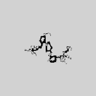 CCOP(C)(=O)C[C@H](C)c1ccnc(OCC2CCN(c3cc(OC)ccc3CCCC(C)(C)C)CC2)c1